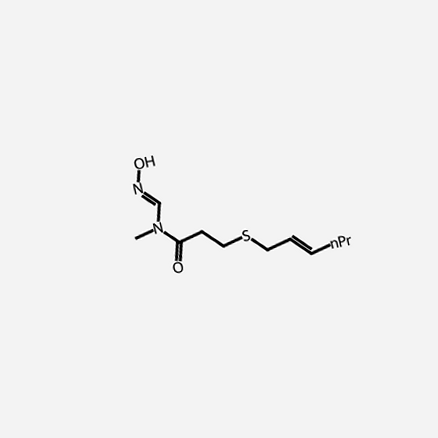 CCCC=CCSCCC(=O)N(C)C=NO